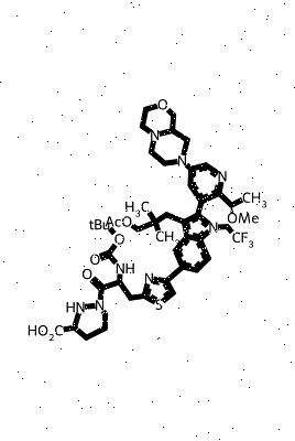 CO[C@@H](C)c1ncc(N2CCN3CCOCC3C2)cc1-c1c(CC(C)(C)COC(C)=O)c2cc(-c3csc(CC(NC(=O)OC(C)(C)C)C(=O)N4CCCC(C(=O)O)N4)n3)ccc2n1CC(F)(F)F